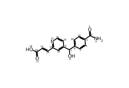 NC(=O)c1ccc(C(O)c2ccnc(C=CC(=O)O)c2)cc1